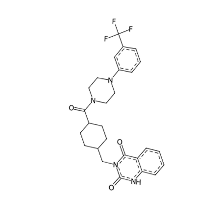 O=C(C1CCC(Cn2c(=O)[nH]c3ccccc3c2=O)CC1)N1CCN(c2cccc(C(F)(F)F)c2)CC1